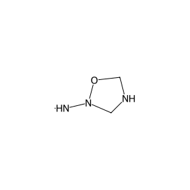 [NH]N1CNCO1